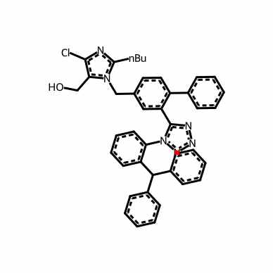 CCCCc1nc(Cl)c(CO)n1Cc1ccc(-c2ccccc2)c(-c2nnnn2-c2ccccc2C(c2ccccc2)c2ccccc2)c1